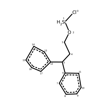 Cl[SiH2]OCCC(c1ccccc1)c1ccccc1